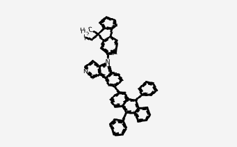 CC1(CI)c2ccccc2-c2ccc(-n3c4ccncc4c4cc(-c5ccc6c(-c7ccccc7)c7ccccc7c(-c7ccccc7)c6c5)ccc43)cc21